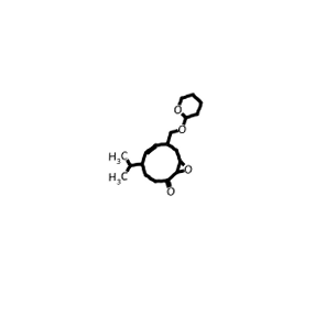 CC(C)C1C=CC(COC2CCCCO2)CC2OC2C(=O)CC1